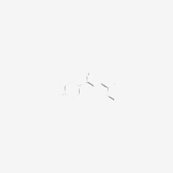 C=N/C(I)=C\C=C(/N)N1CCN(C)CC1